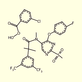 CN(C(=O)C(C)(C)c1cc(C(F)(F)F)cc(C(F)(F)F)c1)c1cnc(S(C)(=O)=O)nc1Oc1ccc(F)cc1.O=C(OO)c1cccc(Cl)c1